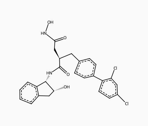 O=C(C[C@@H](Cc1ccc(-c2ccc(Cl)cc2Cl)cc1)C(=O)N[C@H]1c2ccccc2C[C@H]1O)NO